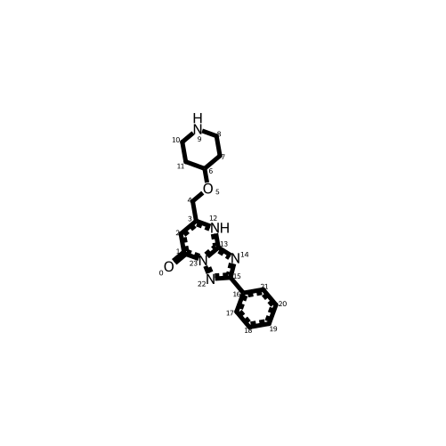 O=c1cc(COC2CCNCC2)[nH]c2nc(-c3ccccc3)nn12